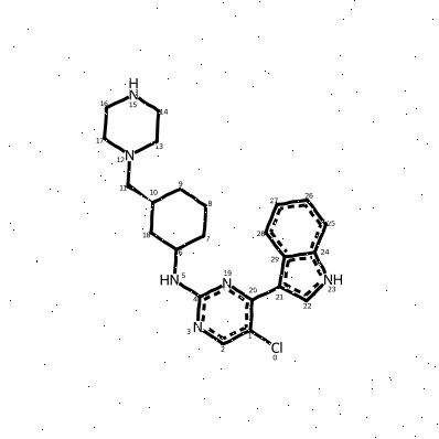 Clc1cnc(NC2CCC[C@H](CN3CCNCC3)C2)nc1-c1c[nH]c2ccccc12